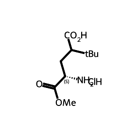 COC(=O)[C@@H](N)CC(C(=O)O)C(C)(C)C.Cl